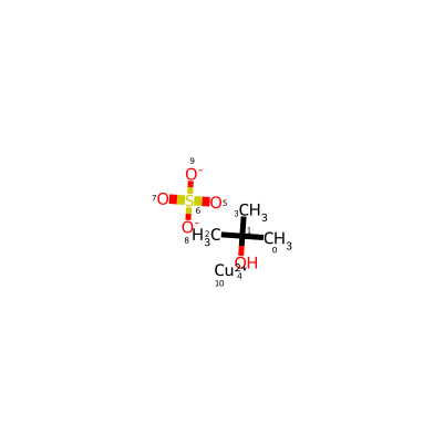 CC(C)(C)O.O=S(=O)([O-])[O-].[Cu+2]